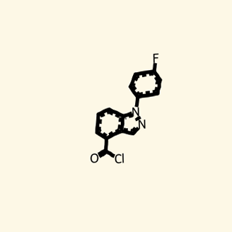 O=C(Cl)c1cccc2c1cnn2-c1ccc(F)cc1